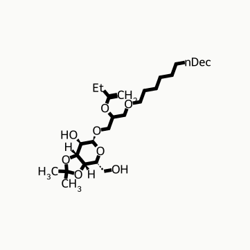 C=C(CC)OC(COCCCCCCCCCCCCCCCC)CO[C@@H]1O[C@H](CO)[C@@H]2OC(C)(C)O[C@@H]2[C@H]1O